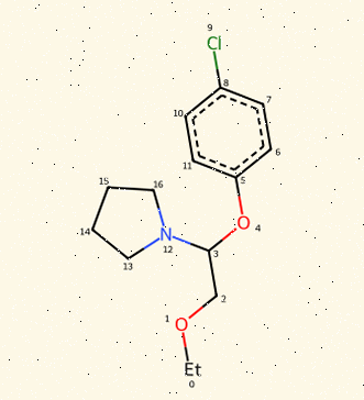 CCOCC(Oc1ccc(Cl)cc1)N1CCCC1